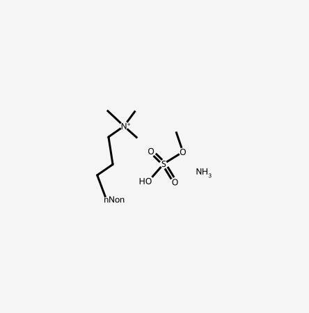 CCCCCCCCCCCC[N+](C)(C)C.COS(=O)(=O)O.N